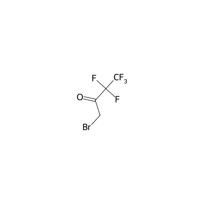 O=C(CBr)C(F)(F)C(F)(F)F